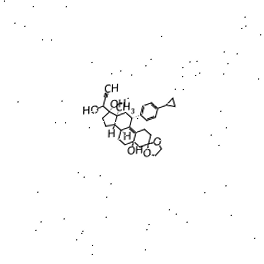 C#CC(O)[C@]1(O)CC[C@H]2[C@@H]3CC[C@@]4(O)CC5(CCC4=C3[C@@H](c3ccc(C4CC4)cc3)C[C@@]21C)OCCO5